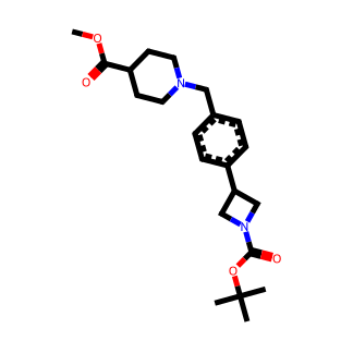 COC(=O)C1CCN(Cc2ccc(C3CN(C(=O)OC(C)(C)C)C3)cc2)CC1